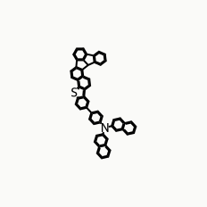 c1ccc2c(c1)-c1cccc3c1C2c1c-3ccc2c1ccc1c3cc(-c4ccc(N(c5ccc6ccccc6c5)c5ccc6ccccc6c5)cc4)ccc3sc21